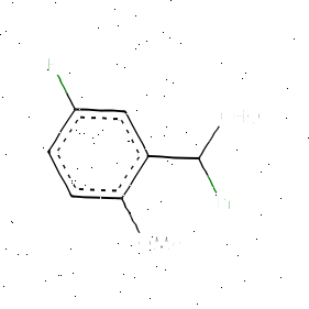 COc1ccc(F)cc1C(Br)C=O